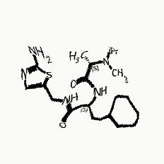 CC(C)N(C)[C@@H](C)C(=O)N[C@@H](CC1CCCCC1)C(=O)NCc1cnc(N)s1